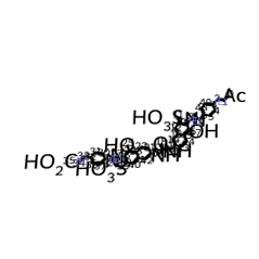 CC(=O)/C=C/c1ccc(/N=N/c2c(S(=O)(=O)O)cc3cc(NC(=O)Nc4ccc5c(O)c(/N=N/c6ccc(/C=C/C(=O)O)cc6)c(S(=O)(=O)O)cc5c4)ccc3c2O)cc1